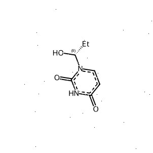 CC[C@@H](O)n1ccc(=O)[nH]c1=O